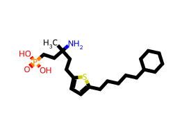 CC(N)(CCc1ccc(CCCCCC2CCCCC2)s1)CCP(=O)(O)O